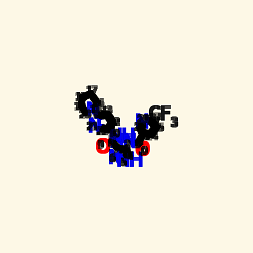 O=C(Nc1c[nH]nc1C(=O)Nc1ccc(N2CCCCC2)nc1)c1ccc(C(F)(F)F)nc1